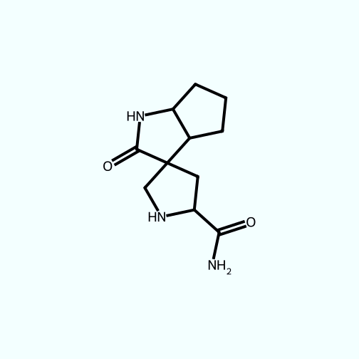 NC(=O)C1CC2(CN1)C(=O)NC1CCCC12